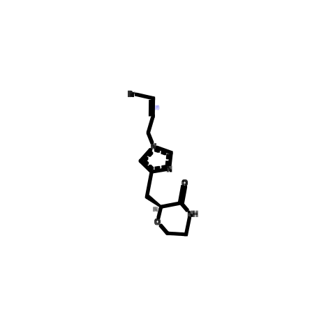 O=C1NCCO[C@H]1Cc1cn(C/C=C\Br)cn1